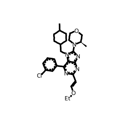 CCOC=Cc1nc(-c2cccc(Cl)c2)c2c(n1)nc(N1CCOC[C@H]1C)n2CC1CCC(C)CC1